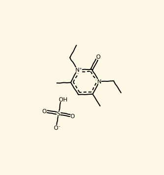 CCn1c(C)cc(C)[n+](CC)c1=O.O=S(=O)([O-])O